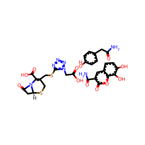 NC(=O)Cc1ccc(O)cc1.NC(=O)c1cc2ccc(O)c(O)c2oc1=O.O=C(O)Cn1nnnc1SCC1=C(C(=O)O)N2C(=O)C[C@@H]2SC1